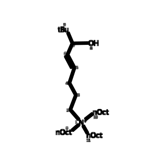 CCCCCCCC[N+](CCCC=CC(O)C(C)(C)C)(CCCCCCCC)CCCCCCCC